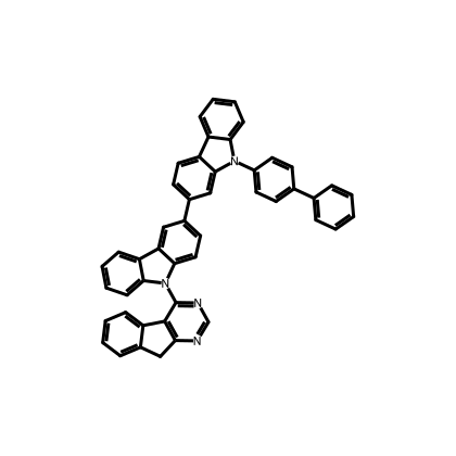 c1ccc(-c2ccc(-n3c4ccccc4c4ccc(-c5ccc6c(c5)c5ccccc5n6-c5ncnc6c5-c5ccccc5C6)cc43)cc2)cc1